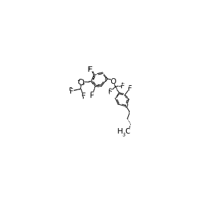 CCCCc1ccc(C(F)(F)Oc2cc(F)c(OC(F)F)c(F)c2)c(F)c1